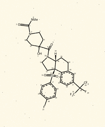 CNC(=O)N1CCC(O)(C(=O)N2CC[C@@]3(S(=O)(=O)c4ccc(F)cc4)c4ccc(C(F)(C(F)(F)F)C(F)(F)F)cc4CC[C@@H]23)CC1